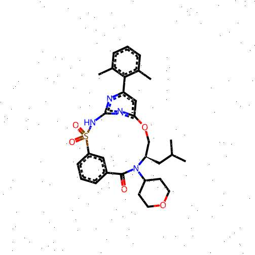 Cc1cccc(C)c1-c1cc2nc(n1)NS(=O)(=O)c1cccc(c1)C(=O)N(C1CCOCC1)[C@H](CC(C)C)CO2